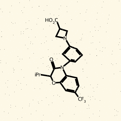 CC(C)C1Oc2cc(C(F)(F)F)ccc2N(c2cccc(N3CC(C(=O)O)C3)c2)C1=O